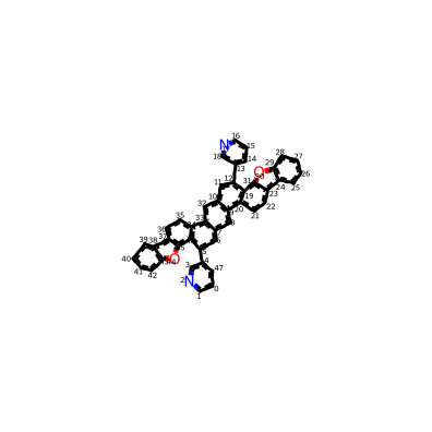 c1cncc(-c2cc3cc4c(cc(-c5cccnc5)c5c4ccc4c6ccccc6oc45)cc3c3ccc4c5ccccc5oc4c23)c1